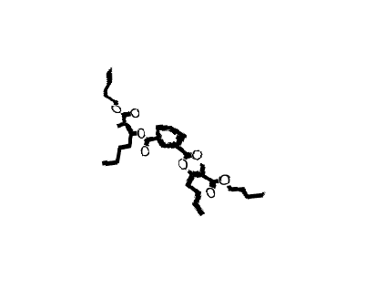 CCCCOC(=O)C(C)=C(CCCC)OC(=O)c1cccc(C(=O)OC(CCCC)=C(C)C(=O)OCCCC)c1